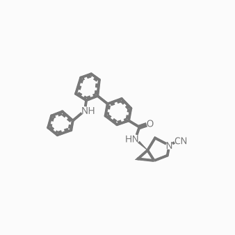 N#CN1CC2C[C@]2(NC(=O)c2ccc(-c3ccccc3Nc3ccccc3)cc2)C1